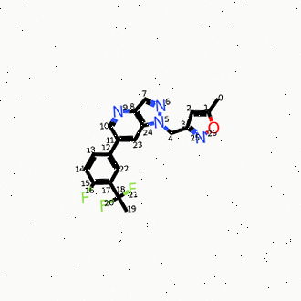 Cc1cc(Cn2ncc3ncc(-c4ccc(F)c(C(C)(F)F)c4)cc32)no1